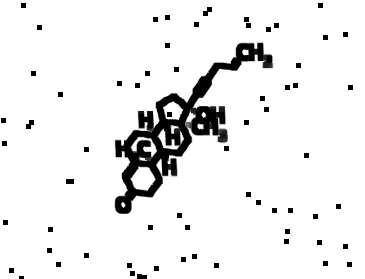 C=CCC#C[C@]1(O)CC[C@H]2[C@@H]3CCC4=CC(=O)CC[C@]4(C)[C@H]3CC[C@@]21C